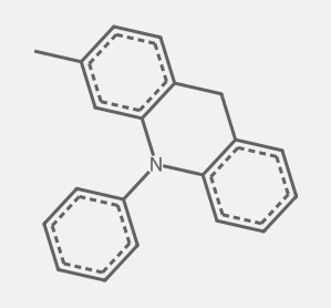 Cc1ccc2c(c1)N(c1ccccc1)c1ccccc1C2